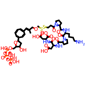 C\C(=C/C1=C/C=C\C=C(C2CC(O)C(COP(=O)(O)OP(=O)(O)OP(=O)(O)O)O2)/C=C\1)COCSSCCC(=O)N1CCCC1C(=O)NC(CCCCN)C(=O)N1CCCC1C(=O)NC(CC(=O)O)C(=O)NC(CC(=O)O)C(=O)O